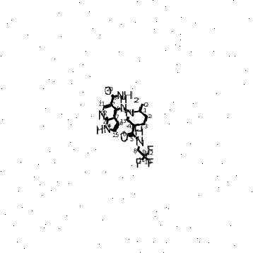 CC1CCC(C(=O)NCC(F)(F)F)CN1Nc1c(C(N)=O)cnc2[nH]c#cc12